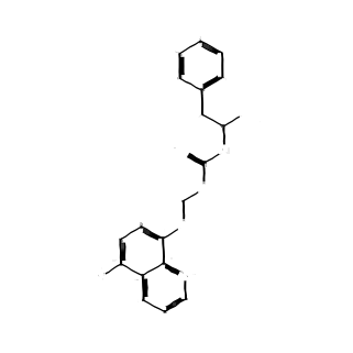 O=C(NC(Cc1ccccc1)C(=O)O)OCOc1ccc([N+](=O)[O-])c2cccnc12